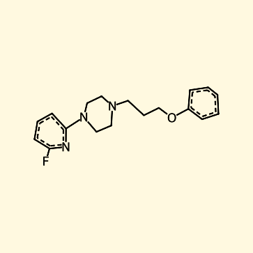 Fc1cccc(N2CCN(CCCOc3ccccc3)CC2)n1